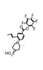 CC=Cc1cc(C(=O)Oc2c(F)c(F)c(F)c(F)c2F)ccc1N1CCN(C(=O)O)C[C@H]1C